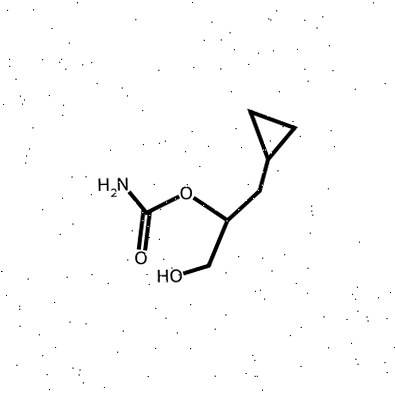 NC(=O)OC(CO)CC1CC1